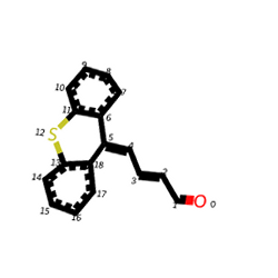 O=CC=CC=C1c2ccccc2Sc2ccccc21